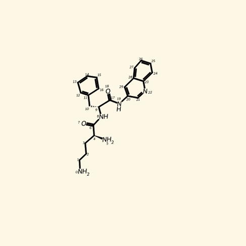 NCCC[C@H](N)C(=O)N[C@H](Cc1ccccc1)C(=O)Nc1cnc2ccccc2c1